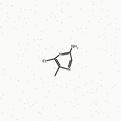 CCc1nc(N)cnc1C